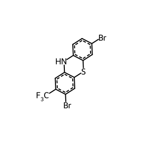 FC(F)(F)c1cc2c(cc1Br)Sc1cc(Br)ccc1N2